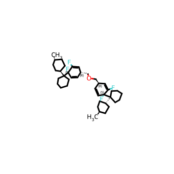 C[C@H]1CC[C@H](C2([C@@]3(F)C=C[C@@H](COC[C@@H]4C=C[C@](F)(C5([C@H]6CC[C@H](C)CC6)CCCCC5)C(F)=C4)C=C3F)CCCCC2)CC1